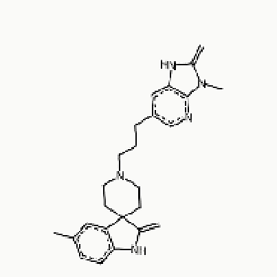 C=C1Nc2cc(CCCN3CCC4(CC3)C(=C)Nc3ccc(C)cc34)cnc2N1C